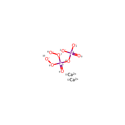 O=P([O-])([O-])OP(=O)(O[O-])O[O-].[Ca+2].[Ca+2]